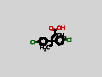 C=CC(C=C(C)C(=O)O)(c1ccc(Cl)cc1)c1ccc(Cl)cc1